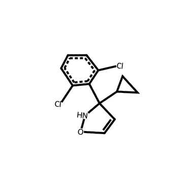 Clc1cccc(Cl)c1C1(C2CC2)C=CON1